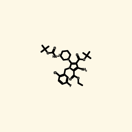 CCOC(=O)c1c(N)c(C(=O)OC(C)(C)C)c(N2CCC[C@@H](NC(=O)OC(C)(C)C)C2)n1Cc1cc(F)ccc1Cl